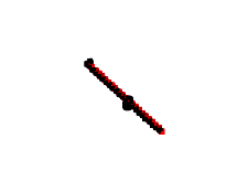 CCCCCCC=CCCCCCCCCCCCC(=O)OCCCCCCCCCCCCCCCCCCCCCCCC(C)CC